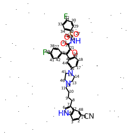 N#Cc1ccc2[nH]cc(CCCCN3CCN(c4ccc5oc(C(=O)NS(=O)(=O)c6ccc(F)cc6)c(-c6ccc(F)cc6)c5c4)CC3)c2c1